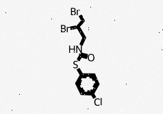 O=C(NCC(Br)CBr)Sc1ccc(Cl)cc1